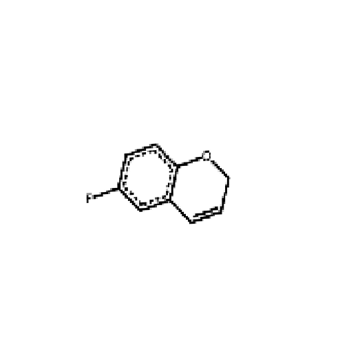 Fc1ccc2c(c1)C=CCO2